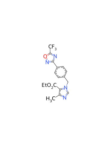 CCOC(=O)c1c(C)ncn1Cc1ccc(-c2noc(C(F)(F)F)n2)cc1